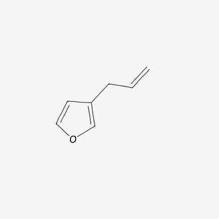 C=CCc1ccoc1